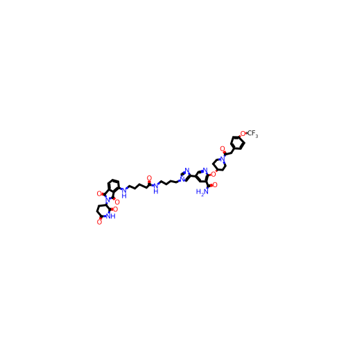 NC(=O)c1cc(-c2cn(CCCCNC(=O)CCCCNc3cccc4c3C(=O)N(C3CCC(=O)NC3=O)C4=O)cn2)cnc1OC1CCN(C(=O)Cc2ccc(OC(F)(F)F)cc2)CC1